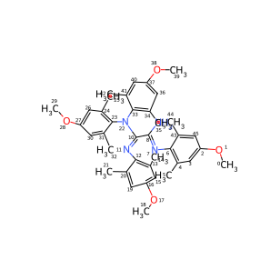 COc1cc(C)c(N=C(N)C(=Nc2c(C)cc(OC)cc2C)N(c2c(C)cc(OC)cc2C)c2c(C)cc(OC)cc2C)c(C)c1